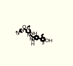 CCc1cc(O)c(F)cc1-c1ccc2c(-c3nc4c([nH]3)CN(CC)C(C(=O)N3CC(N(C)C)C3)C4)n[nH]c2c1